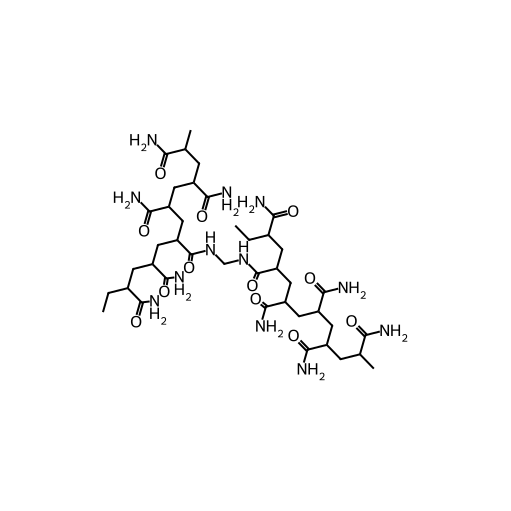 CCC(CC(CC(CC(CC(CC(C)C(N)=O)C(N)=O)C(N)=O)C(=O)NCNC(=O)C(CC(CC)C(N)=O)CC(CC(CC(CC(C)C(N)=O)C(N)=O)C(N)=O)C(N)=O)C(N)=O)C(N)=O